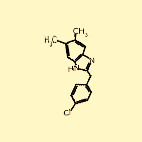 Cc1cc2nc(Cc3ccc(Cl)cc3)[nH]c2cc1C